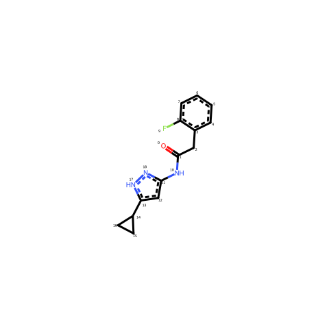 O=C(Cc1ccccc1F)Nc1cc(C2CC2)[nH]n1